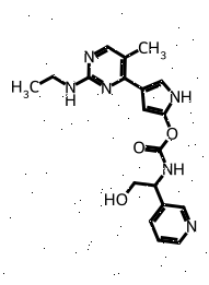 CCNc1ncc(C)c(-c2c[nH]c(OC(=O)NC(CO)c3cccnc3)c2)n1